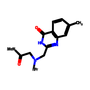 CCCN(CC(=O)NC)Cc1nc2cc(C)ccc2c(=O)[nH]1